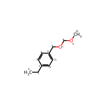 CCc1ccc(COCOC)cc1